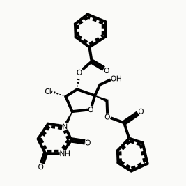 O=C(OC[C@@]1(CO)O[C@@H](n2ccc(=O)[nH]c2=O)[C@H](Cl)[C@@H]1OC(=O)c1ccccc1)c1ccccc1